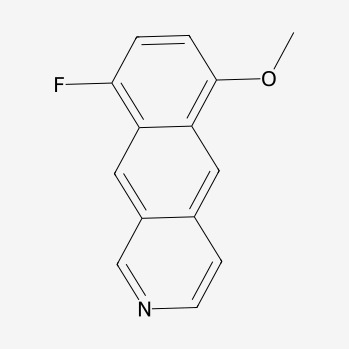 COc1ccc(F)c2cc3cnccc3cc12